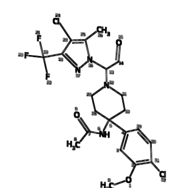 COc1cc(C2(NC(C)=O)CCN(C(C=O)n3nc(C(F)(F)F)c(Cl)c3C)CC2)ccc1Cl